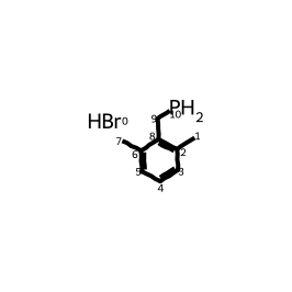 Br.Cc1cccc(C)c1CP